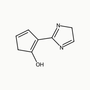 OC1=C(C2=NCC=N2)C=CC1